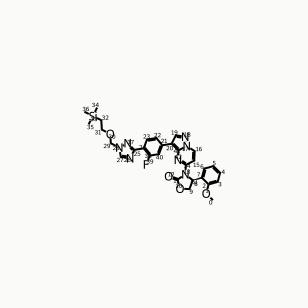 COc1ccccc1[C@H]1COC(=O)N1c1ccn2ncc(-c3ccc(-c4ncn(COCC[Si](C)(C)C)n4)c(F)c3)c2n1